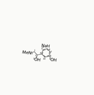 CNC[C@H](O)c1cccc(O)c1.[NaH]